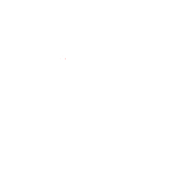 CCCCCCCCCCCCCCCCCCC(=O)C(C)C